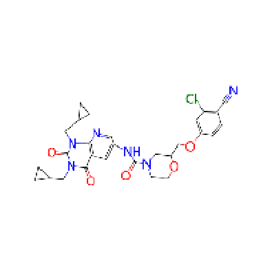 N#Cc1ccc(OCC2CN(C(=O)Nc3cnc4c(c3)c(=O)n(CC3CC3)c(=O)n4CC3CC3)CCO2)cc1Cl